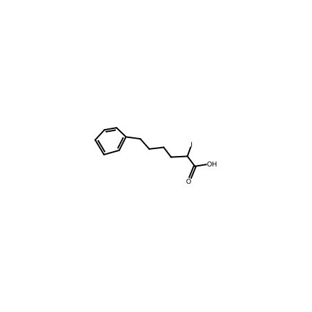 O=C(O)C(I)CCCCc1ccccc1